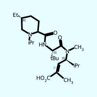 CC[C@@H]1CCC(C(=O)N[C@H](C(=O)N(C)[C@H](/C=C(\C)C(=O)O)C(C)C)C(C)(C)C)N(C(C)C)C1